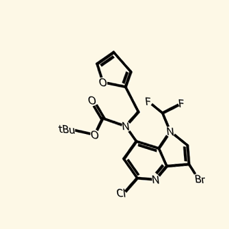 CC(C)(C)OC(=O)N(Cc1ccco1)c1cc(Cl)nc2c(Br)cn(C(F)F)c12